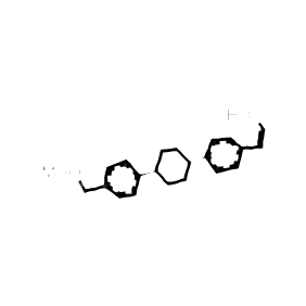 C/C=C\c1ccc([C@H]2CC[C@H](c3ccc(COC)cc3)CC2)cc1